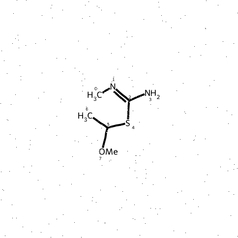 C/N=C(/N)SC(C)OC